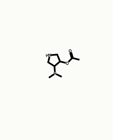 CC(=O)OC1CNCC1N(C)C